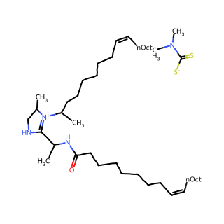 CCCCCCCC/C=C\CCCCCCCC(=O)NC(C)C1=[N+](C(C)CCCCCC/C=C\CCCCCCCC)C(C)CN1.CN(C)C(=S)[S-]